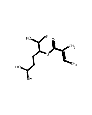 CC=C(C)C(=O)OC(CCC(O)CCC)C(O)CCC